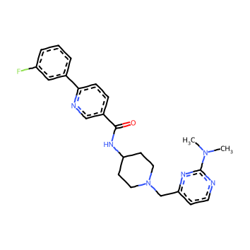 CN(C)c1nccc(CN2CCC(NC(=O)c3ccc(-c4cccc(F)c4)nc3)CC2)n1